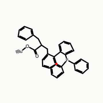 CC(C)(C)OC(=O)C(Cc1ccccc1)Cc1ccccc1-c1ccccc1P(c1ccccc1)c1ccccc1